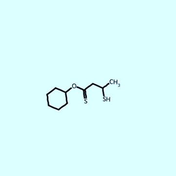 CC(S)CC(=S)OC1CCCCC1